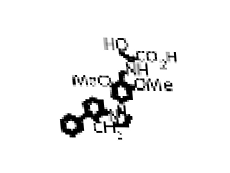 COc1cc(N2C=CCN2c2cccc(-c3ccccc3)c2C)cc(OC)c1CNC(CO)C(=O)O